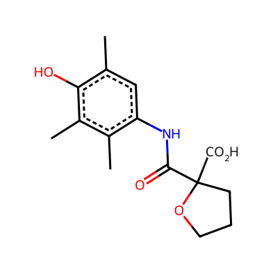 Cc1cc(NC(=O)C2(C(=O)O)CCCO2)c(C)c(C)c1O